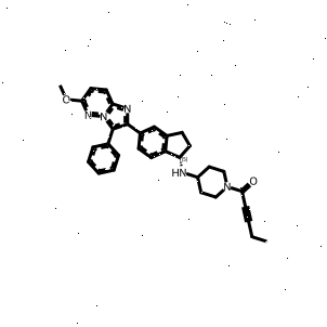 CCC#CC(=O)N1CCC(N[C@H]2CCc3cc(-c4nc5ccc(OC)nn5c4-c4ccccc4)ccc32)CC1